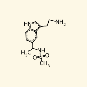 CC(NS(C)(=O)=O)c1ccc2[nH]cc(CCN)c2c1